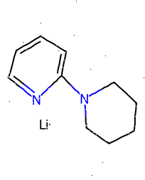 [Li].c1ccc(N2CCCCC2)nc1